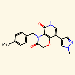 COc1ccc(CN2C(=O)COc3c(-c4cnn(C)c4)c[nH]c(=O)c32)cc1